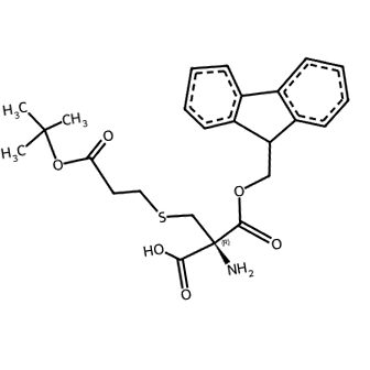 CC(C)(C)OC(=O)CCSC[C@@](N)(C(=O)O)C(=O)OCC1c2ccccc2-c2ccccc21